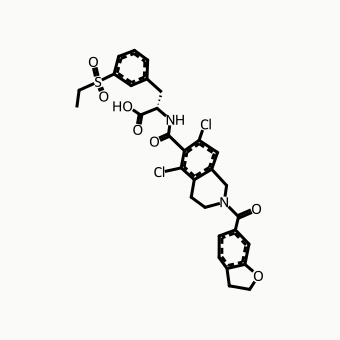 CCS(=O)(=O)c1cccc(C[C@H](NC(=O)c2c(Cl)cc3c(c2Cl)CCN(C(=O)c2ccc4c(c2)OCC4)C3)C(=O)O)c1